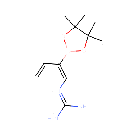 C=C/C(=C\N=C(N)N)B1OC(C)(C)C(C)(C)O1